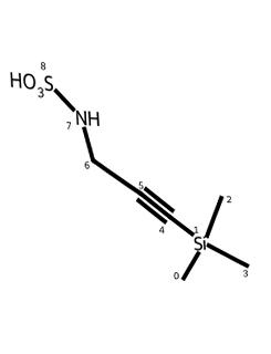 C[Si](C)(C)C#CCNS(=O)(=O)O